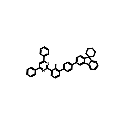 Cc1c(-c2ccc(-c3ccc4c(c3)-c3ccccc3C43CCCCC3)cc2)cccc1-c1nc(-c2ccccc2)cc(-c2ccccc2)n1